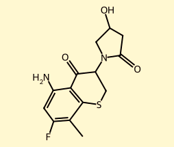 Cc1c(F)cc(N)c2c1SCC(N1CC(O)CC1=O)C2=O